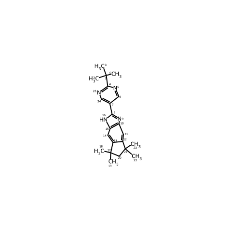 CC(C)(C)c1ncc(-c2nc3cc4c(cc3[nH]2)C(C)(C)CC4(C)C)cn1